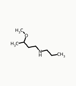 CCCNCCC(C)OC